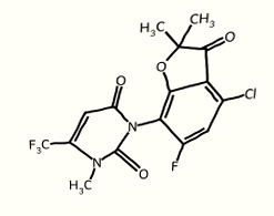 Cn1c(C(F)(F)F)cc(=O)n(-c2c(F)cc(Cl)c3c2OC(C)(C)C3=O)c1=O